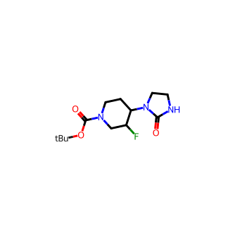 CC(C)(C)OC(=O)N1CCC(N2CCNC2=O)C(F)C1